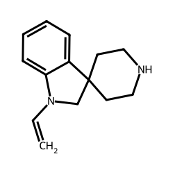 C=CN1CC2(CCNCC2)c2ccccc21